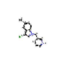 N#Cc1ccc2c(c1)c(Br)cn2Cc1cccnc1